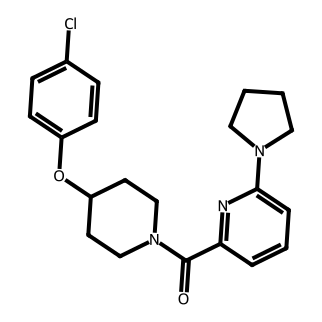 O=C(c1cccc(N2CCCC2)n1)N1CCC(Oc2ccc(Cl)cc2)CC1